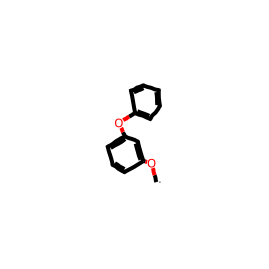 [CH2]Oc1cccc(Oc2ccccc2)c1